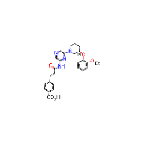 CCOc1ccccc1O[C@@H]1CCCN(c2cncc(NC(=O)CCc3ccc(C(=O)O)cc3)n2)C1